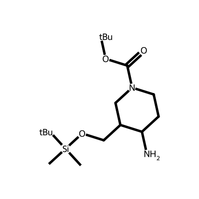 CC(C)(C)OC(=O)N1CCC(N)C(CO[Si](C)(C)C(C)(C)C)C1